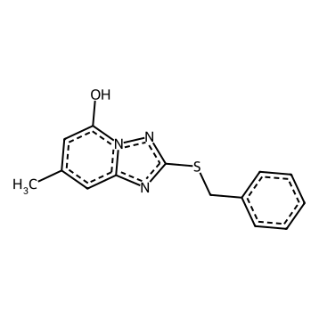 Cc1cc(O)n2nc(SCc3ccccc3)nc2c1